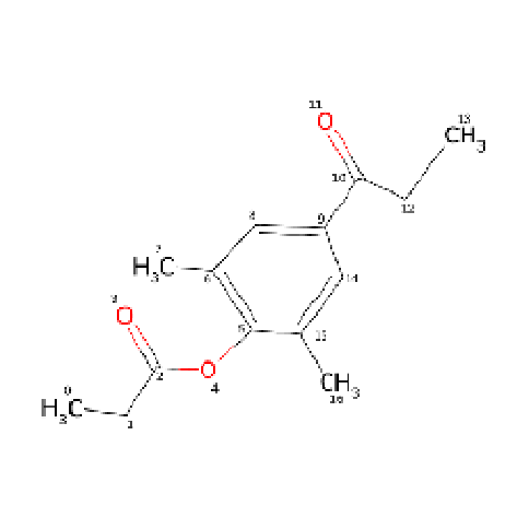 CCC(=O)Oc1c(C)cc(C(=O)CC)cc1C